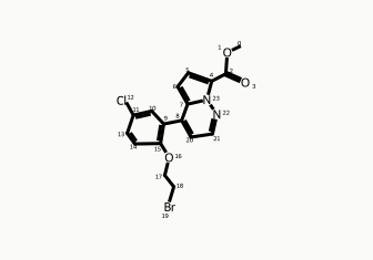 COC(=O)c1ccc2c(-c3cc(Cl)ccc3OCCBr)ccnn12